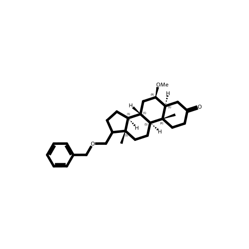 CO[C@@H]1C[C@@H]2[C@H](CC[C@]3(C)C(COCc4ccccc4)CC[C@@H]23)[C@@]2(C)CCC(=O)C[C@H]12